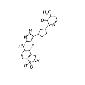 Cc1ccnn(C2CCC(c3cc(Nc4ccc5c(c4F)CNS5(=O)=O)n[nH]3)C2)c1=O